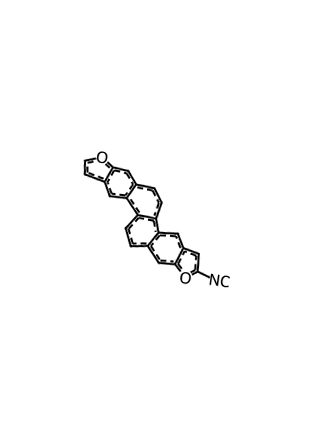 [C-]#[N+]c1cc2cc3c(ccc4c5cc6ccoc6cc5ccc34)cc2o1